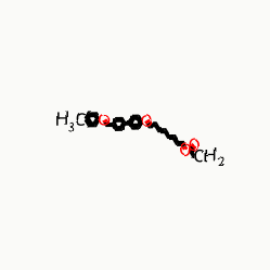 C=CC(=O)OCCCCCCCCOc1ccc(-c2ccc(COc3ccc(C)cc3)cc2)cc1